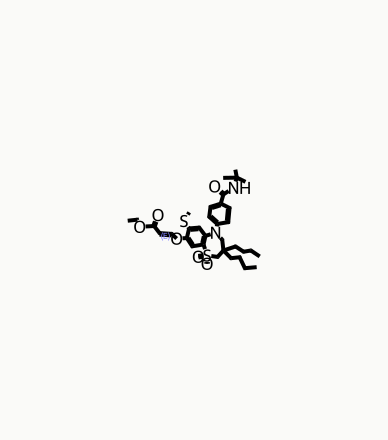 CCCCC1(CCCC)CN(c2ccc(C(=O)NC(C)(C)C)cc2)c2cc(SC)c(O/C=C/C(=O)OCC)cc2S(=O)(=O)C1